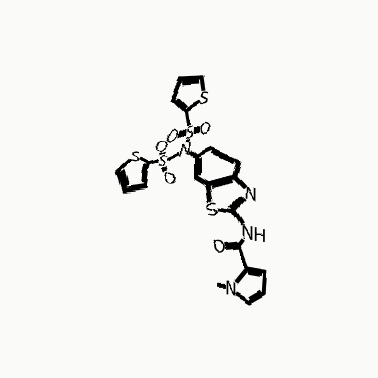 Cn1cccc1C(=O)Nc1nc2ccc(N(S(=O)(=O)c3cccs3)S(=O)(=O)c3cccs3)cc2s1